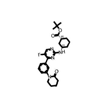 CC(C)(C)OC(=O)[C@@H]1CCC[C@H](Nc2ncc(F)c(-c3cccc(N4CCCCC4=O)c3)n2)C1